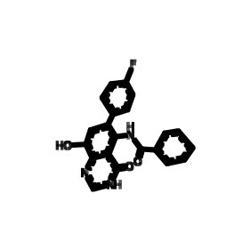 O=C(Nc1c(-c2ccc(F)cc2)cc(O)c2nc[nH]c(=O)c12)c1ccccc1